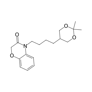 CC1(C)OCC(CCCCN2C(=O)COc3ccccc32)CO1